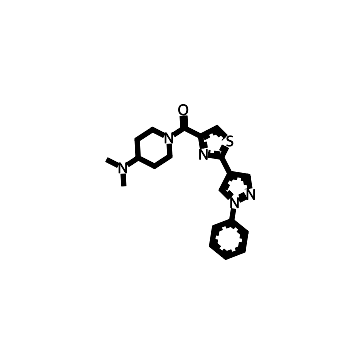 CN(C)C1CCN(C(=O)c2csc(-c3cnn(-c4ccccc4)c3)n2)CC1